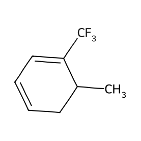 CC1CC=CC=C1C(F)(F)F